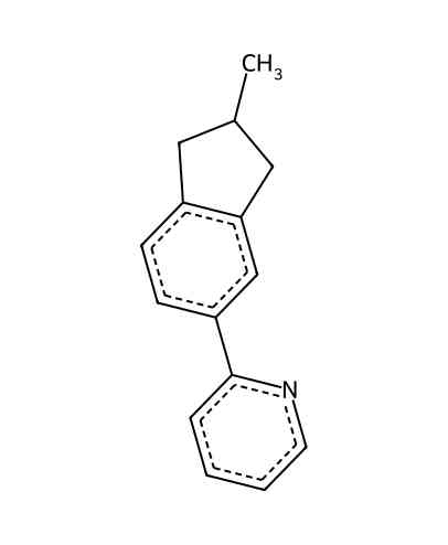 CC1Cc2ccc(-c3ccccn3)cc2C1